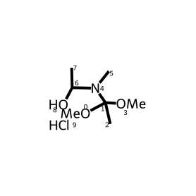 COC(C)(OC)N(C)C(C)O.Cl